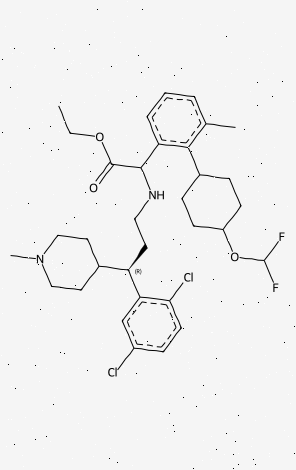 CCOC(=O)C(NCC[C@@H](c1cc(Cl)ccc1Cl)C1CCN(C)CC1)c1cccc(C)c1C1CCC(OC(F)F)CC1